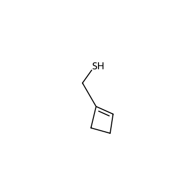 SCC1=CCC1